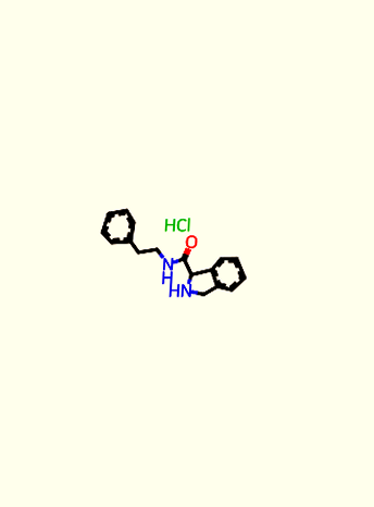 Cl.O=C(NCCc1ccccc1)C1NCc2ccccc21